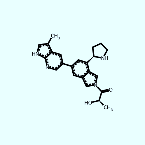 Cc1c[nH]c2ncc(-c3cc([C@H]4CCCN4)c4cn(C(=O)[C@@H](C)O)cc4c3)cc12